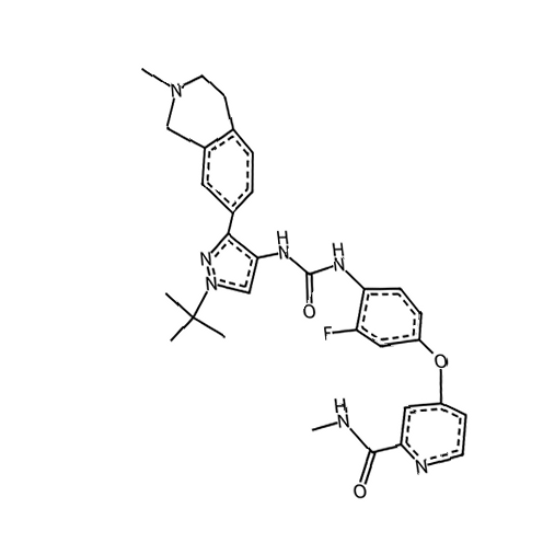 CNC(=O)c1cc(Oc2ccc(NC(=O)Nc3cn(C(C)(C)C)nc3-c3ccc4c(c3)CN(C)CC4)c(F)c2)ccn1